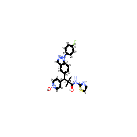 CC(C)(C(=O)Nc1nccs1)C(c1cc[n+]([O-])cc1)c1ccc2c(cnn2-c2ccc(F)cc2)c1